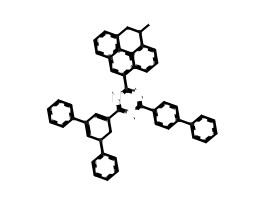 CC1Cc2cccc3cc(-c4nc(C5=CC(c6ccccc6)=CC(c6ccccc6)C5)nc(-c5ccc(-c6ccccc6)cc5)n4)c4cccc1c4c23